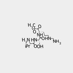 CC(C)[C@H](N)C(=O)N[C@@H](CO)C(=O)N[C@@H](CCCNCN)C(=O)[C@@]1(C)CO1